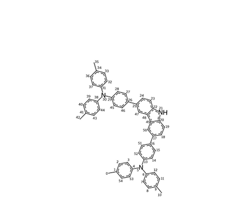 Cc1ccc(N(c2ccc(C)cc2)c2ccc(-c3ccc4[nH]c5ccc(-c6ccc(N(c7ccc(C)cc7)c7ccc(C)cc7)cc6)cc5c4c3)cc2)cc1